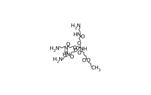 CCCCOC(=O)CCCC(=O)NC(COCCC(=O)NCCCN)(COCCC(=O)NCCCN)COCCC(=O)NCCCN